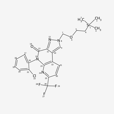 C[Si](C)(C)CCOCn1cc2c(n1)c(=O)n(-c1ccccc1Cl)c1nc(C(F)(F)F)ccc21